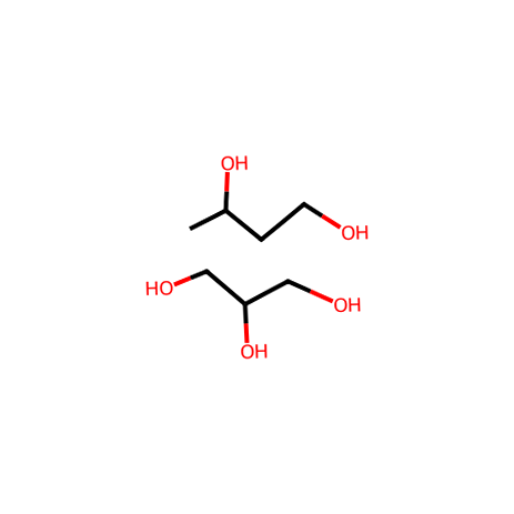 CC(O)CCO.OCC(O)CO